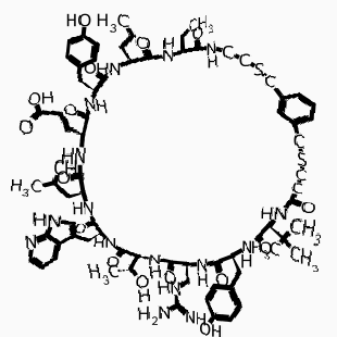 CCC[C@@H]1NC(=O)[C@H](Cc2ccc(O)cc2)NC(=O)[C@H](CCC(=O)O)NC(=O)[C@H](CC(C)C)NC(=O)[C@H](Cc2c[nH]c3ncccc23)NC(=O)[C@H]([C@@H](C)O)NC(=O)[C@H](CNC(=N)N)NC(=O)[C@H](Cc2ccc(O)cc2)NC(=O)[C@H](C(C)(C)C)NC(=O)CCSCc2cccc(c2)CSCCNC(=O)C(CC)NC1=O